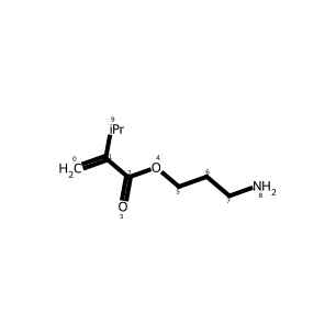 C=C(C(=O)OCCCN)C(C)C